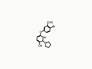 N#CC1=CC=C(Oc2ccc(Br)c(C=O)c2)NC1N1CCCC1